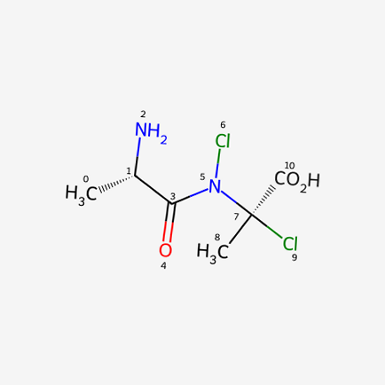 C[C@H](N)C(=O)N(Cl)[C@](C)(Cl)C(=O)O